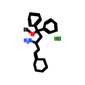 CCOC(CC(N)CC=C1CCCCC1)(c1ccccc1)c1ccccc1.Cl